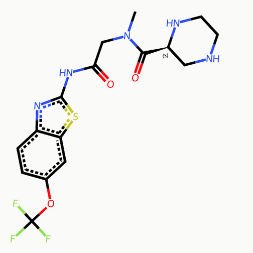 CN(CC(=O)Nc1nc2ccc(OC(F)(F)F)cc2s1)C(=O)[C@@H]1CNCCN1